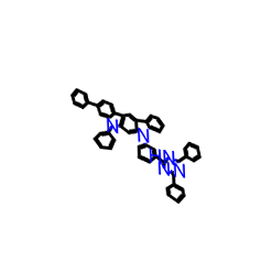 c1ccc(C2=NC(c3cccc(-n4c5ccccc5c5cc6c7ccc(-c8ccccc8)cc7n(-c7ccccc7)c6cc54)c3)NC(c3ccccc3)=N2)cc1